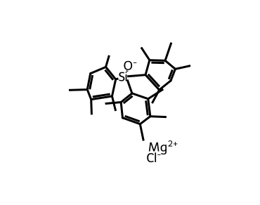 Cc1cc(C)c([Si]([O-])(c2c(C)cc(C)c(C)c2C)c2c(C)cc(C)c(C)c2C)c(C)c1C.[Cl-].[Mg+2]